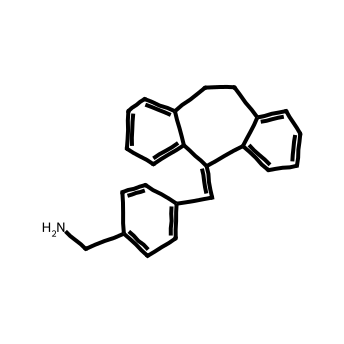 NCc1ccc(C=C2c3ccccc3CCc3ccccc32)cc1